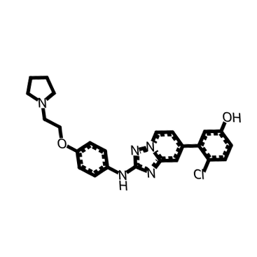 Oc1ccc(Cl)c(-c2ccn3nc(Nc4ccc(OCCN5CCCC5)cc4)nc3c2)c1